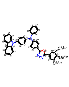 COc1cc(-c2nnc(-c3ccc(N(c4ccccc4)c4ccc(-n5c6ccccc6c6ccccc65)cc4)cc3)o2)cc(OC)c1OC